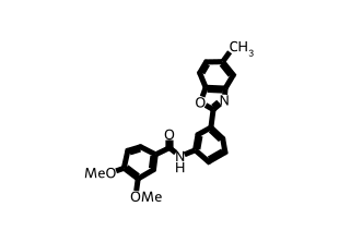 COc1ccc(C(=O)Nc2cccc(-c3nc4cc(C)ccc4o3)c2)cc1OC